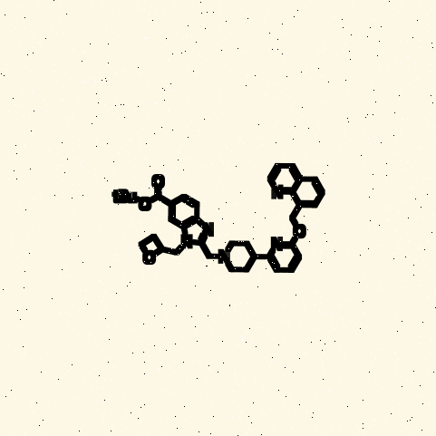 CC(C)(C)OC(=O)c1ccc2nc(CN3CCC(c4cccc(OCc5cccc6cccnc56)n4)CC3)n(CC3CCO3)c2c1